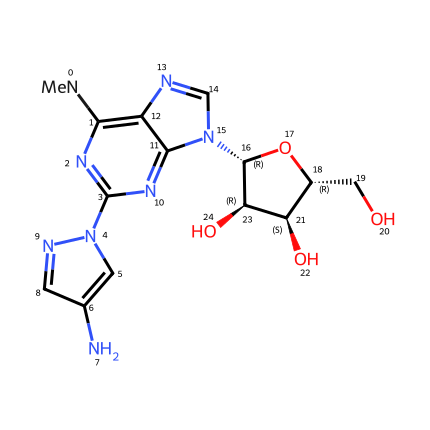 CNc1nc(-n2cc(N)cn2)nc2c1ncn2[C@@H]1O[C@H](CO)[C@@H](O)[C@H]1O